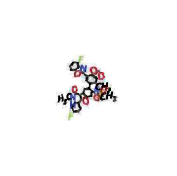 CNC(=O)c1c(-c2ccc(F)cc2)oc2cc(N(C)S(C)(=O)=O)c(-c3cc4c(c(-c5nc6c(F)cccc6o5)c3)OCO4)cc12